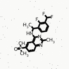 Cc1nc(NC(C)c2cccc(C(F)F)c2F)c2cc(P(C)(C)=O)ccc2n1